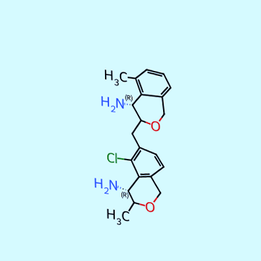 Cc1cccc2c1[C@@H](N)C(Cc1ccc3c(c1Cl)[C@@H](N)C(C)OC3)OC2